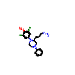 NCCCC1CN(c2ccccc2)CCN1c1cc(F)c(O)c(F)c1